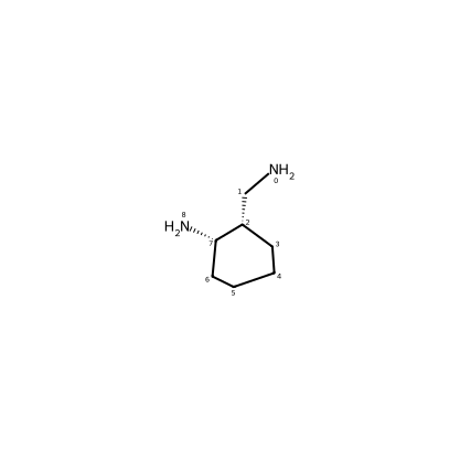 NC[C@@H]1CCCC[C@@H]1N